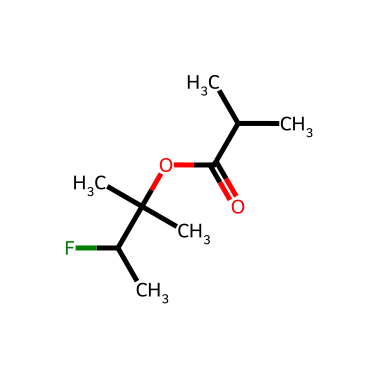 CC(C)C(=O)OC(C)(C)C(C)F